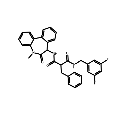 CN1C(=O)C(NC(=O)C(Cc2ccccc2)C(=O)NCc2cc(F)cc(F)c2)c2ccccc2-c2ccccc21